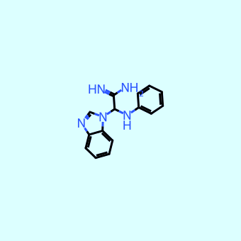 N=C(N)C(Nc1ccccc1)n1cnc2ccccc21